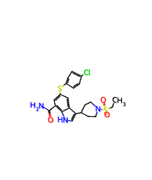 CCS(=O)(=O)N1CCC(c2c[nH]c3c(C(N)=O)cc(Sc4ccc(Cl)cc4)cc23)CC1